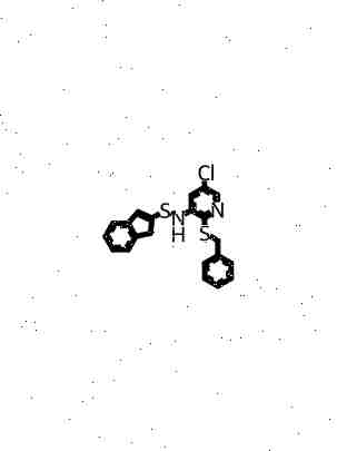 Clc1cnc(SCc2ccccc2)c(NSC2=Cc3ccccc3C2)c1